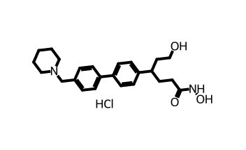 Cl.O=C(CCC(CCO)c1ccc(-c2ccc(CN3CCCCC3)cc2)cc1)NO